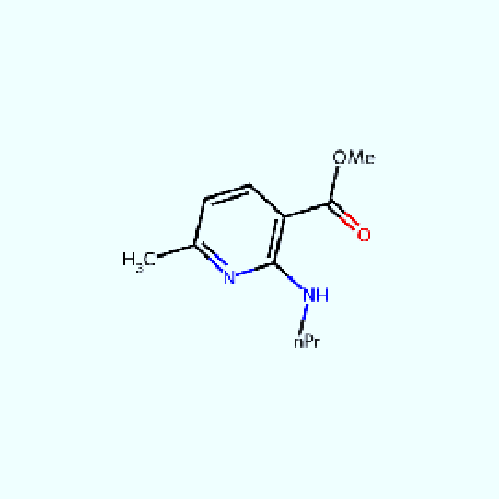 CCCNc1nc(C)ccc1C(=O)OC